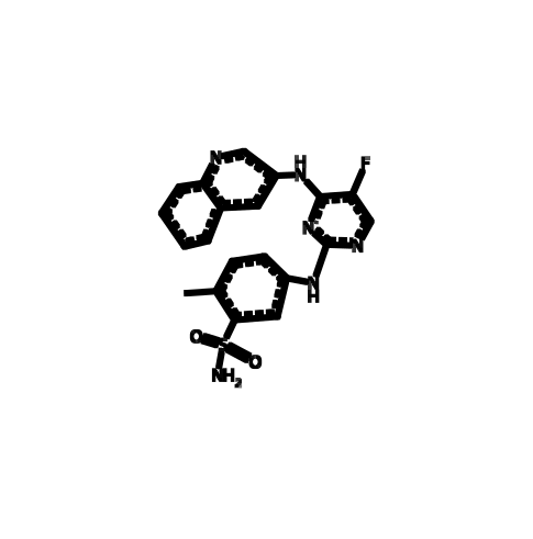 Cc1ccc(Nc2ncc(F)c(Nc3cnc4ccccc4c3)n2)cc1S(N)(=O)=O